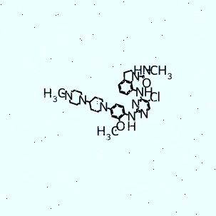 CNC(=O)N1CCc2cccc(Nc3nc(Nc4ccc(N5CCC(N6CCN(C)CC6)CC5)cc4OC)ncc3Cl)c21